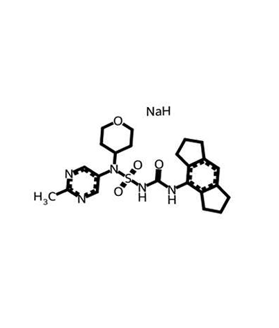 Cc1ncc(N(C2CCOCC2)S(=O)(=O)NC(=O)Nc2c3c(cc4c2CCC4)CCC3)cn1.[NaH]